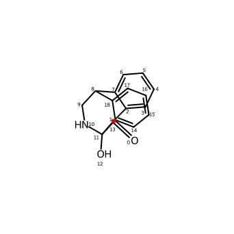 O=C1c2ccccc2C2CNC1(O)c1ccccc12